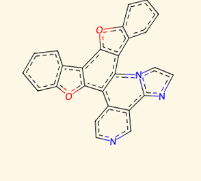 c1ccc2c(c1)oc1c2c2oc3ccccc3c2c2c1c1ccncc1c1nccn12